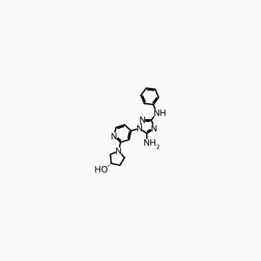 Nc1nc(Nc2ccccc2)nn1-c1ccnc(N2CC[C@H](O)C2)c1